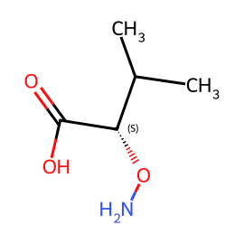 CC(C)[C@H](ON)C(=O)O